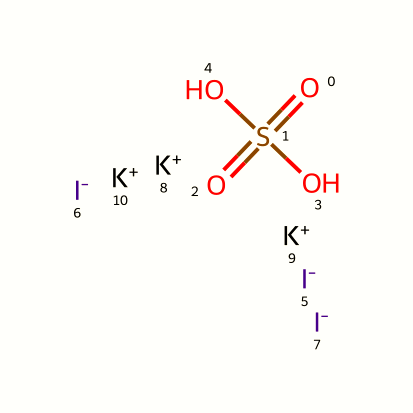 O=S(=O)(O)O.[I-].[I-].[I-].[K+].[K+].[K+]